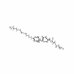 CCCCCCCCCCCCc1cnc(-c2ccc(OC[C@@H](F)CCCCC)cc2)nc1